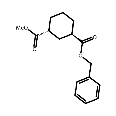 COC(=O)[C@@H]1CCC[C@@H](C(=O)OCc2ccccc2)C1